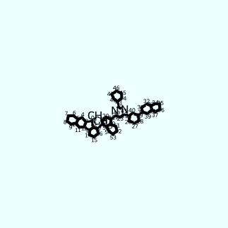 CC1(C)c2cc3ccccc3cc2-c2cccc(-c3ccc(-c4cc(-c5cccc(-c6ccc7ccccc7c6)c5)nc(-c5ccccc5)n4)c4ccccc34)c21